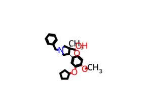 COc1ccc([C@@H]2CN(Cc3ccccc3)C[C@@]2(C)C(=O)O)cc1OC1CCCC1